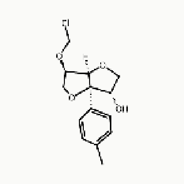 Cc1ccc([C@]23OC[C@@H](OCCl)[C@H]2OC[C@@H]3O)cc1